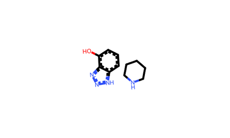 C1CCNCC1.Oc1cccc2[nH]nnc12